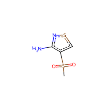 CS(=O)(=O)c1csnc1N